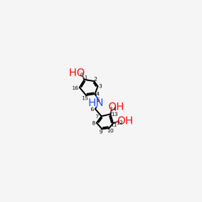 Oc1ccc(NCc2cccc(O)c2O)cc1